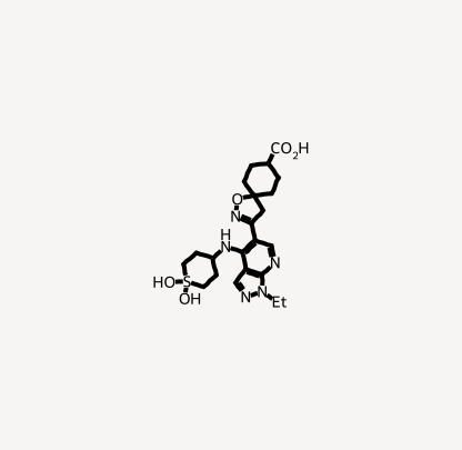 CCn1ncc2c(NC3CCS(O)(O)CC3)c(C3=NOC4(CCC(C(=O)O)CC4)C3)cnc21